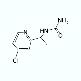 CC(NC(N)=O)c1cc(Cl)ccn1